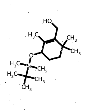 CC1=C(CO)C(C)(C)CCC1O[Si](C)(C)C(C)(C)C